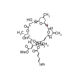 C=C1C[C@@H]2C[C@@H]3CC(=C)C[C@H](/C=C/C(C)(C)[C@]4(O)O[C@@H](C/C(=C\C(=O)OC)[C@@H]4OC(=O)/C=C/C=C/CCC)C[C@H]([C@@H](C)O)OC(=O)C[C@H](O)C[C@H](C1)O2)O3